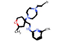 CC(C)CCN1CCN(C2(CNc3cccc(C#N)n3)CCOC(C)C2)CC1